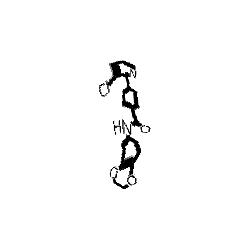 O=C(Nc1ccc2c(c1)OCCO2)c1ccc(-c2ncccc2Cl)cc1